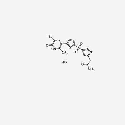 CCc1cc(-c2ccc(S(=O)(=O)n3cnc(CC(N)=O)c3)s2)c(C)[nH]c1=O.Cl